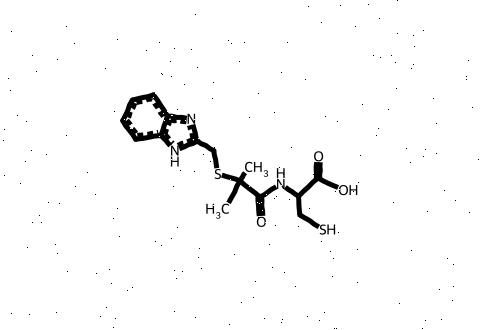 CC(C)(SCc1nc2ccccc2[nH]1)C(=O)NC(CS)C(=O)O